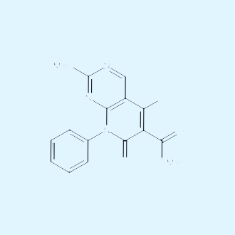 COC(=O)c1c(O)c2cnc(SC)nc2n(-c2ccccc2)c1=O